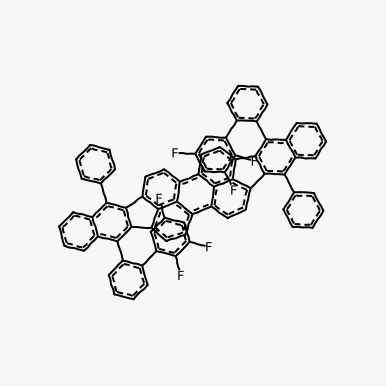 Fc1cc(F)c(F)c(-c2ccccc2-c2c3c(c(-c4ccccc4)c4ccccc24)-c2ccc4c5ccc6c7c(ccc(c8ccc-3c2c48)c75)-c2c-6c(-c3ccccc3-c3cc(F)cc(F)c3F)c3ccccc3c2-c2ccccc2)c1